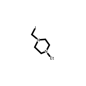 CCN1CCN(CI)CC1